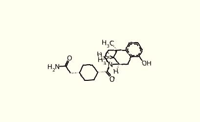 CC1(C)[C@H]2Cc3c(O)cccc3[C@]1(C)CCN2C(=O)[C@H]1CC[C@@H](CC(N)=O)CC1